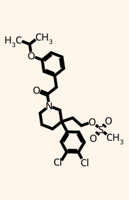 CC(C)Oc1cccc(CC(=O)N2CCCC(CCOS(C)(=O)=O)(c3ccc(Cl)c(Cl)c3)C2)c1